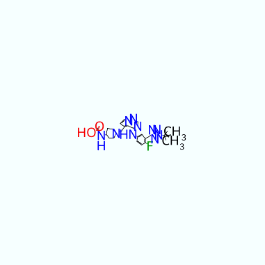 CC(C)n1nnc(-c2cc(Nc3ncnn4ccc(CN5CCC(NC(=O)O)CC5)c34)ccc2F)n1